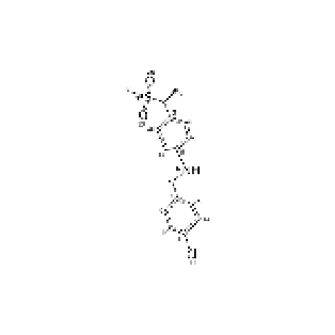 C[C@@H](c1ccc(NCc2ccc(Cl)cc2)cc1)S(C)(=O)=O